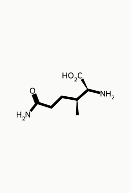 C[C@@H](CCC(N)=O)[C@H](N)C(=O)O